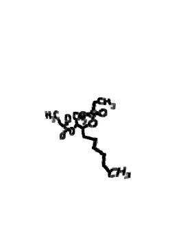 CCCCCCC(OS(=O)(=O)CC)C(C)OS(=O)(=O)CC